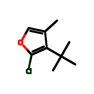 Cc1coc(Cl)c1C(C)(C)C